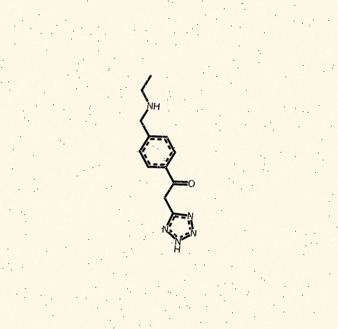 CCNCc1ccc(C(=O)Cc2nn[nH]n2)cc1